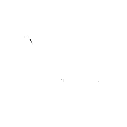 CC(=O)C1CCN(C[C@H]2CC[C@H](C(C)C)CC2)CC1